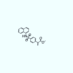 C=C(C(=O)OC)c1ccc(S(=O)(=O)Nc2cccc3ccccc23)cc1